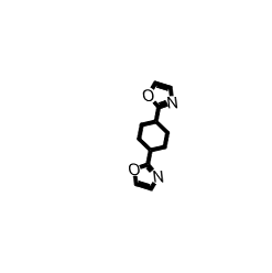 c1coc(C2CCC(c3ncco3)CC2)n1